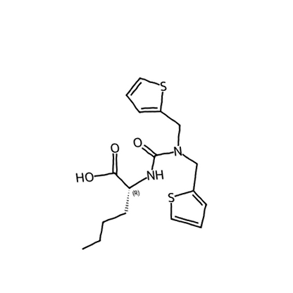 CCCC[C@@H](NC(=O)N(Cc1cccs1)Cc1cccs1)C(=O)O